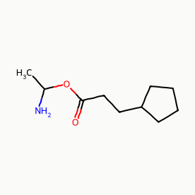 CC(N)OC(=O)CCC1CCCC1